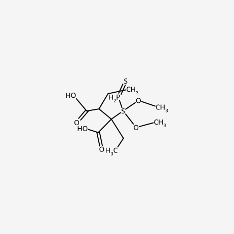 CCC(C(=O)O)C(CC)(C(=O)O)S(OC)(OC)[PH2]=S